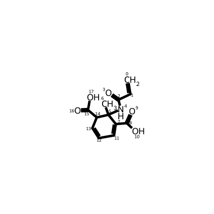 C=CC(=O)NC1(C)C(C(=O)O)=CC=CC1C(=O)O